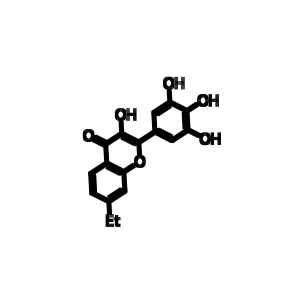 CCc1ccc2c(=O)c(O)c(-c3cc(O)c(O)c(O)c3)oc2c1